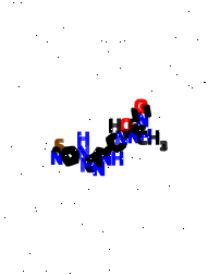 CC(C)(CN1CCOCC1)NC(=O)N1CC=C(c2cc3c(Nc4ccc5ncsc5c4)ncnc3[nH]2)CC1